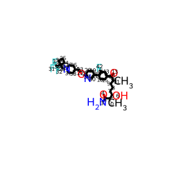 C[C@H](C(N)=O)[C@@H](O)CCC[C@H](C)C(=O)c1ccc(-c2ccc(OCC3CCN(CC4(C(F)(F)F)CCC4)CC3)nc2)c(F)c1